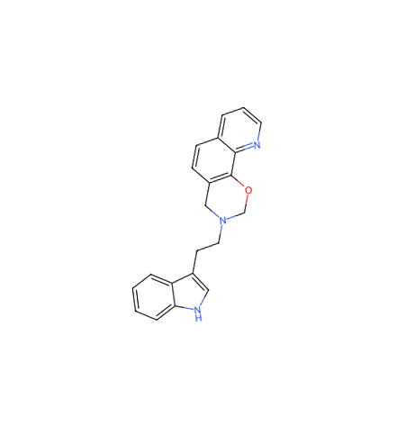 c1cnc2c3c(ccc2c1)CN(CCc1c[nH]c2ccccc12)CO3